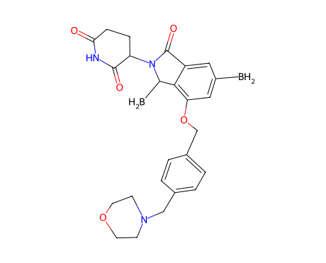 Bc1cc(OCc2ccc(CN3CCOCC3)cc2)c2c(c1)C(=O)N(C1CCC(=O)NC1=O)C2B